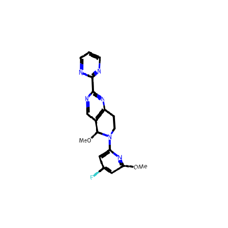 COc1cc(F)cc(N2CCc3nc(-c4ncccn4)ncc3C2OC)n1